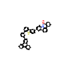 O=c1c2c(c3cccc4c5cc(-c6ccc7sc8c(-c9cccc(-c%10ccc%11c%12c(c%13ccccc%13c%11c%10)CCC=C%12)c9)cccc8c7c6)ccc5n1c34)CCC=C2